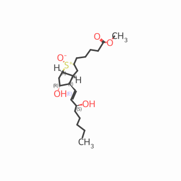 CCCCC[C@H](O)/C=C/[C@@H]1[C@H]2CC(CCCCC(=O)OC)[S+]([O-])[C@@H]2C[C@H]1O